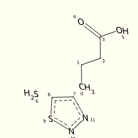 CCCC(=O)O.S.c1csnn1